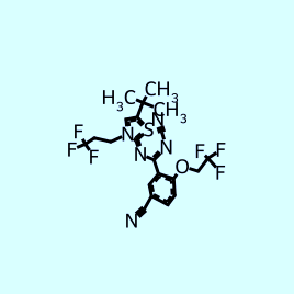 CC(C)(C)c1cn(CCC(F)(F)F)/c(=N/C(=NC#N)c2cc(C#N)ccc2OCC(F)(F)F)s1